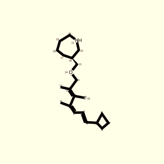 CC(=C/C=C/C1CCC1)/C(F)=C(\C)COC[C@H]1CCCCNC1